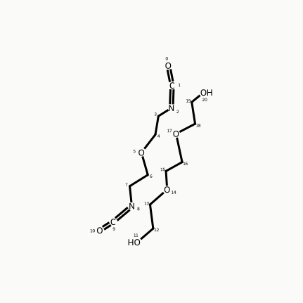 O=C=NCCOCCN=C=O.OCCOCCOCCO